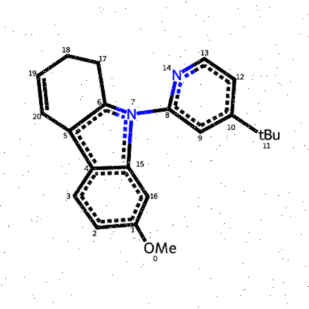 COc1ccc2c3c(n(-c4cc(C(C)(C)C)ccn4)c2c1)CCC=C3